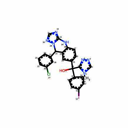 Cn1cnnc1C(O)(c1ccc(I)cc1)c1ccc2c(c1)C(c1cccc(Cl)c1)n1ncnc1N2